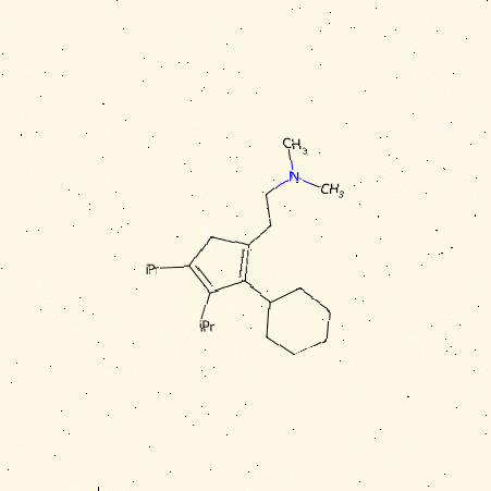 CC(C)C1=C(C(C)C)C(C2CCCCC2)=C(CCN(C)C)C1